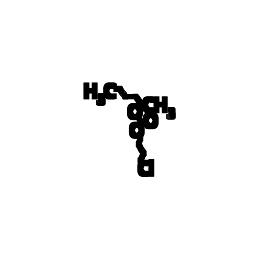 CCCCC(C)OC(=O)OCCCCCl